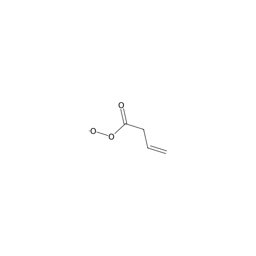 C=CCC(=O)O[O]